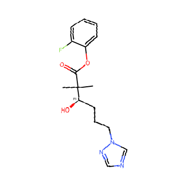 CC(C)(C(=O)Oc1ccccc1F)[C@H](O)CCCn1cncn1